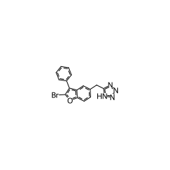 Brc1oc2ccc(Cc3nnn[nH]3)cc2c1-c1ccccc1